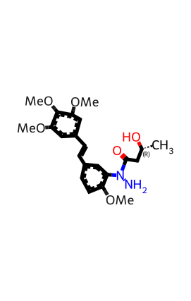 COc1ccc(C=Cc2cc(OC)c(OC)c(OC)c2)cc1N(N)C(=O)C[C@@H](C)O